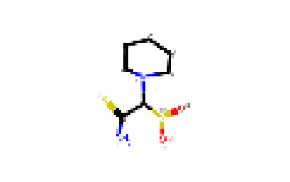 NC(=S)[C](N1CCCCC1)S(=O)O